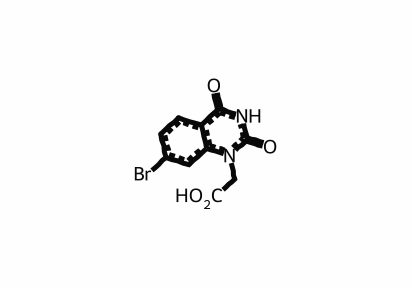 O=C(O)Cn1c(=O)[nH]c(=O)c2ccc(Br)cc21